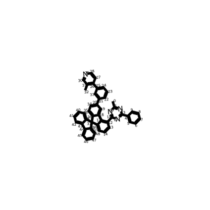 Cc1nc(-c2ccccc2)nc(-c2cccc3c2-c2cc(-c4cccc(-c5ccncc5C)c4)ccc2C32c3ccccc3-c3ccccc32)n1